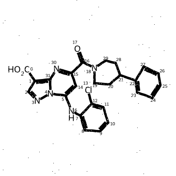 O=C(O)c1cnn2c(Nc3ccccc3Cl)cc(C(=O)N3CCC(c4ccccc4)CC3)nc12